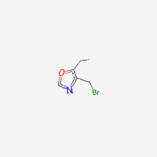 CCc1ocnc1CBr